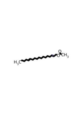 CCCCC=CCCCCCCCCC/C=C/COC(C)=O